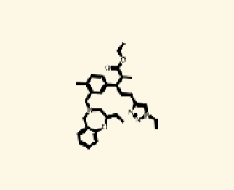 CCOC(=O)C(C)C(CCc1cn(CC)nn1)c1ccc(C)c(CN2Cc3ccccc3OC(CC)C2)c1